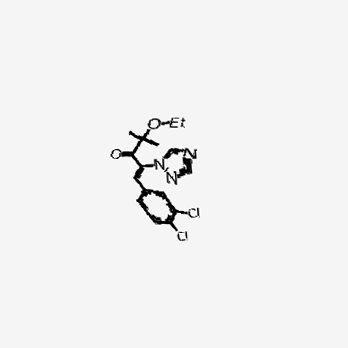 CCOC(C)(C)C(=O)C(=Cc1ccc(Cl)c(Cl)c1)n1cncn1